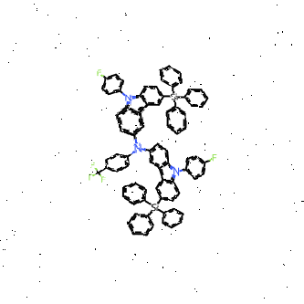 Fc1ccc(-n2c3ccc(N(c4ccc(C(F)(F)F)cc4)c4ccc5c(c4)c4cc([Si](c6ccccc6)(c6ccccc6)c6ccccc6)ccc4n5-c4ccc(F)cc4)cc3c3cc([Si](c4ccccc4)(c4ccccc4)c4ccccc4)ccc32)cc1